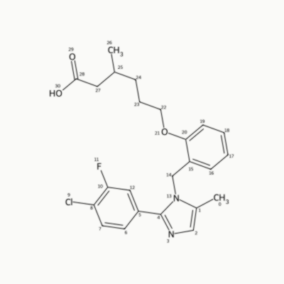 Cc1cnc(-c2ccc(Cl)c(F)c2)n1Cc1ccccc1OCCCC(C)CC(=O)O